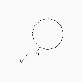 CCPC1CCCCCCCCCCC1